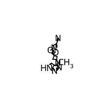 CN(c1ncnc2[nH]ccc12)C1CC(CS(=O)(=O)N2CC(C#N)C2)C1